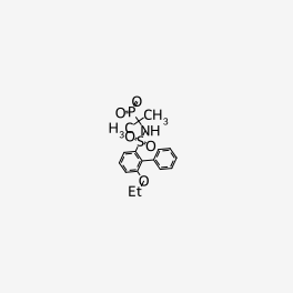 CCOc1cccc(S(=O)(=O)NC(C)(C)P(=O)=O)c1-c1ccccc1